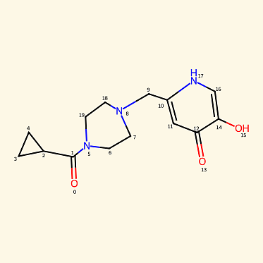 O=C(C1CC1)N1CCN(Cc2cc(=O)c(O)c[nH]2)CC1